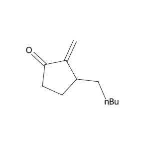 C=C1C(=O)CCC1CCCCC